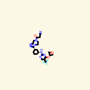 N#CCC(=O)N1CCn2c(nnc2[C@H]2CCC[C@@H](Nc3ncc(C(F)(F)F)c(OC4COC4)n3)C2)C1